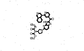 CC(C)(C)OC(=O)N(C(=O)OC(C)(C)C)C1CCN(c2ccc3nc(C(=O)c4ccnc(-c5cncc6ccccc56)c4)[nH]c3n2)C1